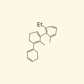 CCc1cccc(C)c1C1=CCCC(C2=CC=CCC2)=C1C